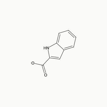 [O]C(=O)c1cc2ccccc2[nH]1